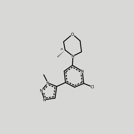 C[C@@H]1COCCN1c1cc(-c2cnnn2C)cc(Cl)n1